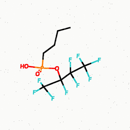 CCCCP(=O)(O)OC(F)(C(F)(F)F)C(F)(F)C(F)(F)F